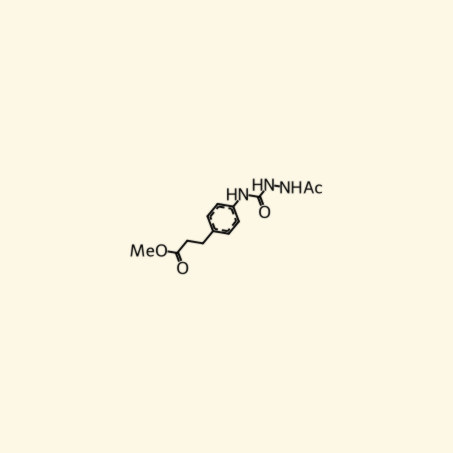 COC(=O)CCc1ccc(NC(=O)NNC(C)=O)cc1